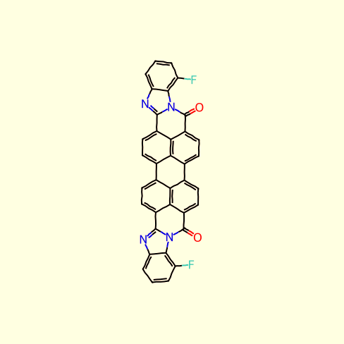 O=c1c2ccc3c4ccc5c(=O)n6c(nc7cccc(F)c76)c6ccc(c7ccc(c2c37)c2nc3cccc(F)c3n12)c4c56